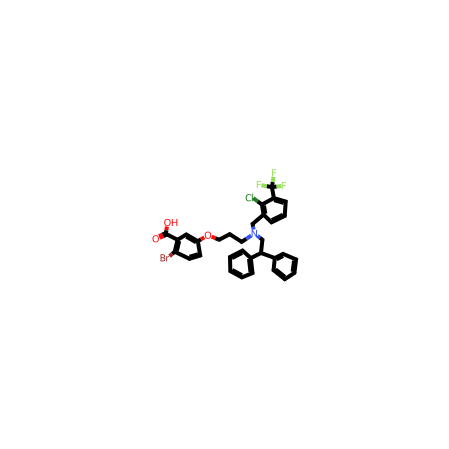 O=C(O)c1cc(OCCCN(Cc2cccc(C(F)(F)F)c2Cl)CC(c2ccccc2)c2ccccc2)ccc1Br